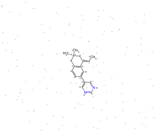 CC=C1CC(C)(C)Cc2ccc(-c3cncnc3)cc21